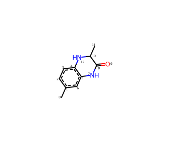 Cc1ccc2c(c1)NC(=O)C(C)N2